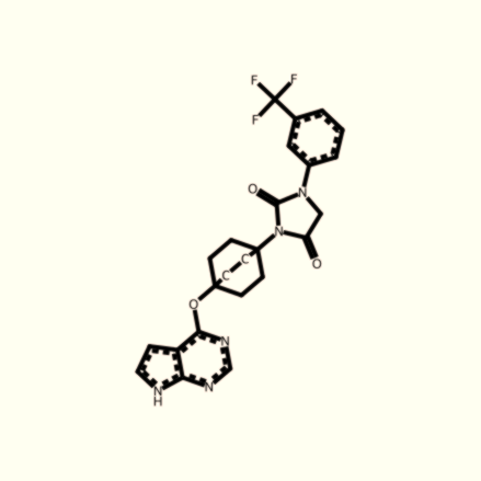 O=C1CN(c2cccc(C(F)(F)F)c2)C(=O)N1C12CCC(Oc3ncnc4[nH]ccc34)(CC1)CC2